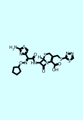 Nc1nc(C(=NOC2CCCC2)C(=O)NC2C(=O)N3C(C(=O)O)=C(CSc4nncs4)CS[C@@H]23)cs1